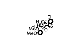 C=CN(C(=O)C(c1csc2ccc(Cl)cc12)P(C)(=O)O)c1cccc(OC)c1OC